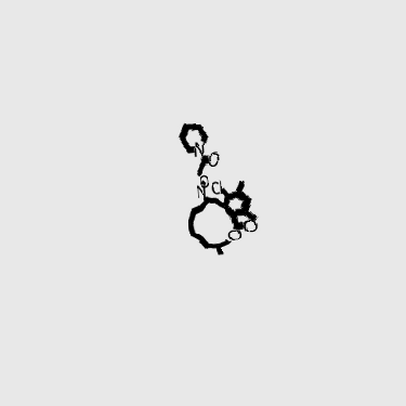 Cc1cc(C)c2c(c1Cl)CC(=N\OCC(=O)N1CCCCC1)/C=C/CC/C=C/C(C)COC2=O